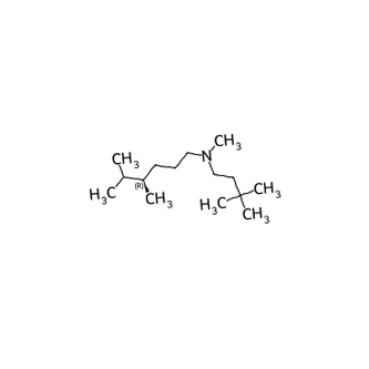 CC(C)[C@H](C)CCCN(C)CCC(C)(C)C